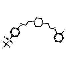 O=S(=O)(c1ccc(OCCN2CCN(CCOc3ccccc3F)CC2)cc1)C(F)(F)F